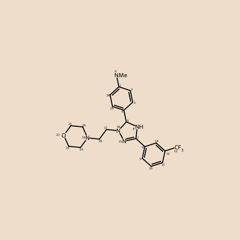 CNc1ccc(C2NC(c3cccc(C(F)(F)F)c3)=NN2CCN2CCOCC2)cc1